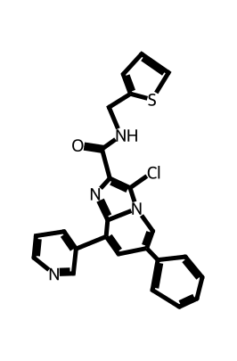 O=C(NCc1cccs1)c1nc2c(-c3cccnc3)cc(-c3ccccc3)cn2c1Cl